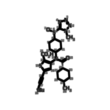 Cn1nnnc1[S@+]([O-])C1CCC(N(c2cc(C#CC(C)(C)C)sc2C(=O)O)C(=O)[C@H]2CC[C@H](C)CC2)CC1